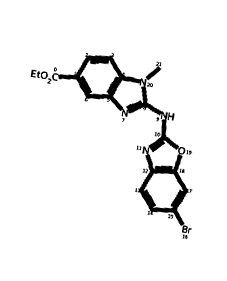 CCOC(=O)c1ccc2c(c1)nc(Nc1nc3ccc(Br)cc3o1)n2C